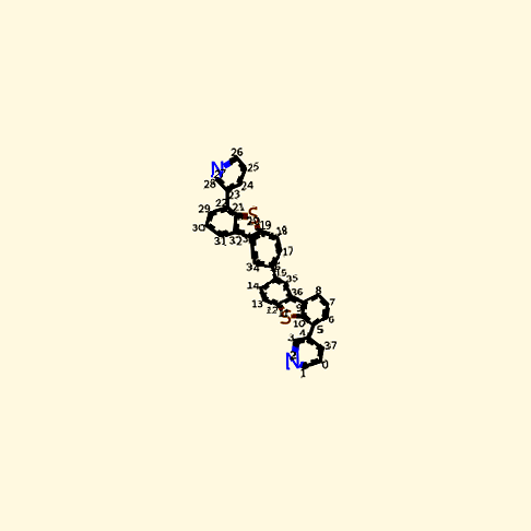 c1cncc(-c2cccc3c2sc2ccc(-c4ccc5sc6c(-c7cccnc7)cccc6c5c4)cc23)c1